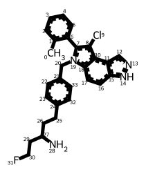 Cc1ccccc1-c1c(Cl)c2c3cn[nH]c3ccc2n1Cc1ccc(CCC(N)CCF)cc1